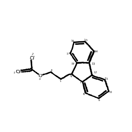 O=C(Cl)OCCC1c2ccccc2-c2ccccc21